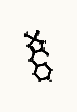 CN1NC(Br)(Br)N=C1OC1CCOCC1